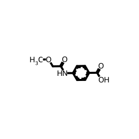 COCC(=O)Nc1ccc(C(=O)O)cc1